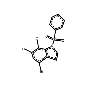 O=S(=O)(c1ccccc1)n1ccc2c(Br)cc(Cl)c(Cl)c21